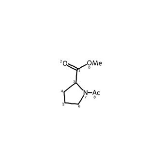 COC(=O)C1C[CH]CN1C(C)=O